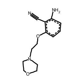 N#Cc1c(N)cccc1OCCN1CCOCC1